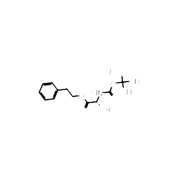 C[C@H](NC(=O)OC(C)(C)C)C(=O)OCCc1ccccc1